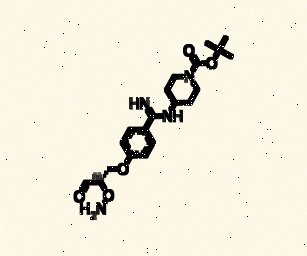 CC(C)(C)OC(=O)N1CCC(NC(=N)c2ccc(OC[C@@H](C=O)ON)cc2)CC1